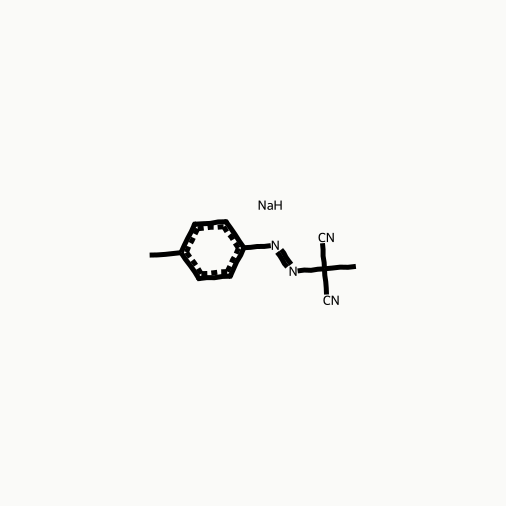 Cc1ccc(N=NC(C)(C#N)C#N)cc1.[NaH]